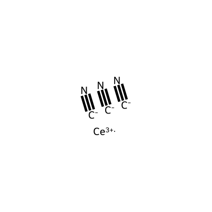 [C-]#N.[C-]#N.[C-]#N.[Ce+3]